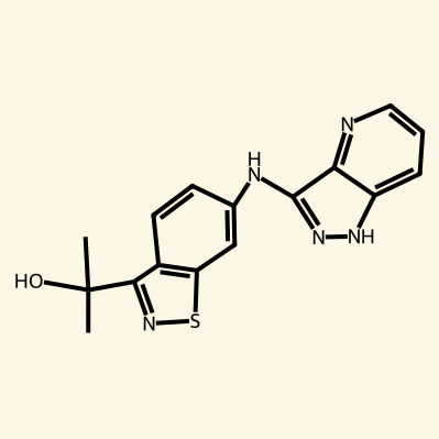 CC(C)(O)c1nsc2cc(Nc3n[nH]c4cccnc34)ccc12